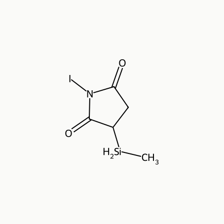 C[SiH2]C1CC(=O)N(I)C1=O